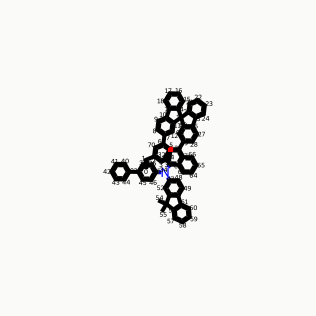 C=Cc1cccc(-c2ccc3c(c2)C2(c4ccccc4-3)c3ccccc3-c3ccc(-c4ccc(N(c5ccc(-c6ccccc6)cc5)c5ccc6c(c5)C(C)(C)c5ccccc5-6)c5ccccc45)cc32)c1